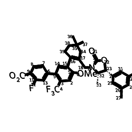 COc1cc(C(F)(F)F)c(-c2ccc(C(=O)O)c(F)c2)cc1C1=C(CN2C(=O)O[C@H](c3cc(C)cc(C(F)(F)F)c3)[C@@H]2C)CC(C)(C)CC1